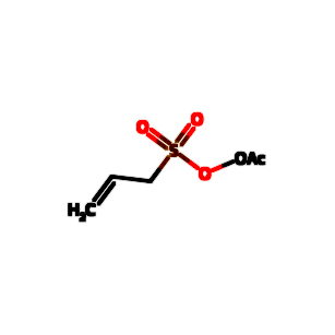 C=CCS(=O)(=O)OOC(C)=O